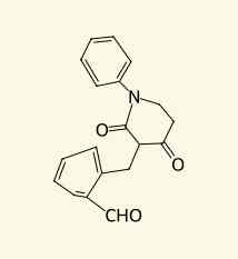 O=Cc1ccccc1CC1C(=O)CCN(c2ccccc2)C1=O